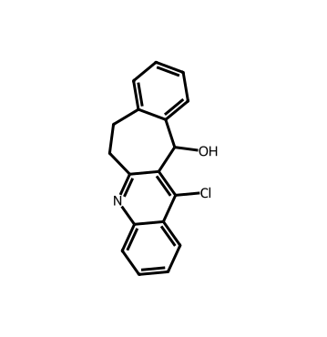 OC1c2ccccc2CCc2nc3ccccc3c(Cl)c21